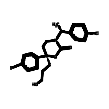 C[C@@H](c1ccc(Cl)cc1)N1CC[C@](CCCO)(c2ccc(F)cc2)OC1=O